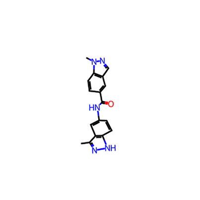 Cc1n[nH]c2ccc(NC(=O)c3ccc4c(cnn4C)c3)cc12